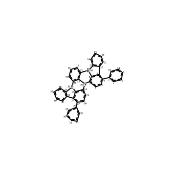 c1ccc(-c2ccc3c4c2-c2ccccc2B4c2cccc4c2N3c2ccc(-c3ccccc3)c3c2B4c2ccccc2-3)cc1